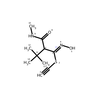 C#CS/C(=N\O)C(C(=O)NC)C(C)(C)C